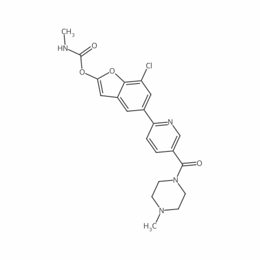 CNC(=O)Oc1cc2cc(-c3ccc(C(=O)N4CCN(C)CC4)cn3)cc(Cl)c2o1